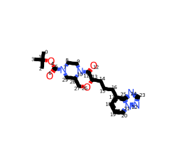 CC(C)(C)OC(=O)N1CCN2C(=O)C(CCCc3cccn4ncnc34)OCC2C1